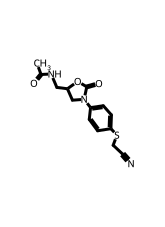 CC(=O)NCC1CN(c2ccc(SCC#N)cc2)C(=O)O1